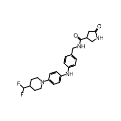 O=C1CC(C(=O)NCc2ccc(Nc3ccc(N4CCC(C(F)F)CC4)cc3)cc2)CN1